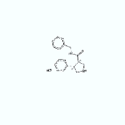 Cl.O=C(NCc1ccccc1)[C@H]1CNC[C@@H]1c1ccccc1